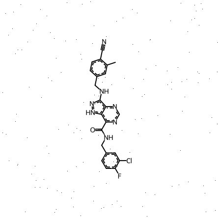 Cc1cc(CNc2n[nH]c3c(C(=O)NCc4ccc(F)c(Cl)c4)ncnc23)ccc1C#N